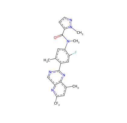 Cc1cc(N(C)C(=O)c2ccnn2C)c(F)cc1-c1ncc2nc(C(F)(F)F)cc(C)c2n1